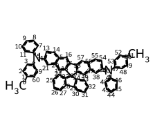 Cc1ccc(N(c2ccccc2)c2ccc3cc4c(cc3c2)C2(c3ccccc3-c3ccccc32)c2cc3cc(N(c5ccccc5)c5ccc(C)cc5)ccc3cc2-4)cc1